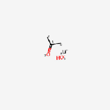 CC(C)=O.[Li+].[OH-]